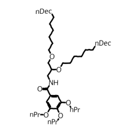 CCCCCCCCCCCCCCCCOCC(CNC(=O)c1cc(OCCC)c(OCCC)c(OCCC)c1)OCCCCCCCCCCCCCCCC